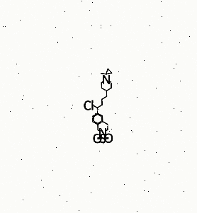 CC1(N2CCC(CCCC(Cl)c3ccc4c(c3)CCN(S(C)(=O)=O)C4)CC2)CC1